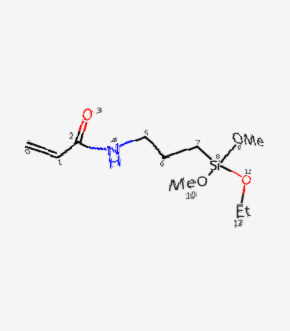 C=CC(=O)NCCC[Si](OC)(OC)OCC